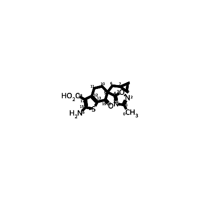 Cc1noc(C2(CC3CC3)CCc3c(sc(N)c3C(=O)O)C2=O)n1